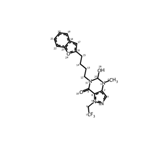 CN1c2cnn(CC(F)(F)F)c2C(=O)N(CCCCc2cc3ccccc3o2)C1O